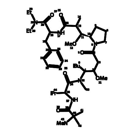 CCC(C)C(C(CC(=O)N1CCC[C@H]1C(OC)C(C)C(=O)NC(Cc1ccccc1)C(=O)N(CC)CC)OC)N(C)C(=O)C(NC(=O)C(C)(C)NC)C(C)C